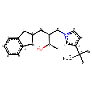 C[C@@H](O)[C@@H](CC1Cc2ccccc2C1)Cn1ccc(C(C)(C)C(=O)O)c1